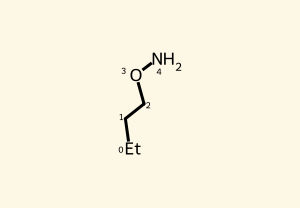 [CH2]CCCON